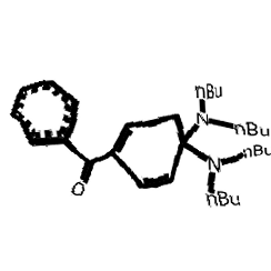 CCCCN(CCCC)C1(N(CCCC)CCCC)C=CC(C(=O)c2ccccc2)=CC1